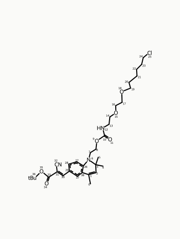 CC1=CC(C)(C)N(CCOC(=O)NCCOCCOCCCCCCCl)c2ccc(/C=C(\C#N)C(=O)OC(C)(C)C)cc21